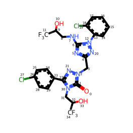 O=c1n(Cc2nc(NCC(O)C(F)(F)F)n(-c3ccccc3Cl)n2)nc(-c2ccc(Cl)cc2)n1CC(O)C(F)(F)F